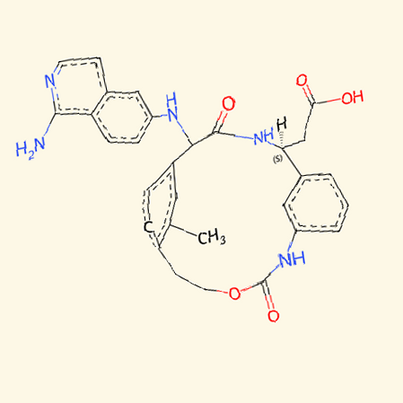 Cc1cc2ccc1CCOC(=O)Nc1cccc(c1)[C@H](CC(=O)O)NC(=O)C2Nc1ccc2c(N)nccc2c1